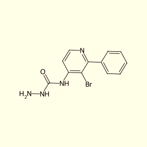 NNC(=O)Nc1ccnc(-c2ccccc2)c1Br